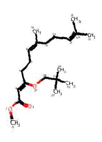 COC(=O)C=C(CCC=C(C)CCC=C(C)C)OCC(C)(C)C